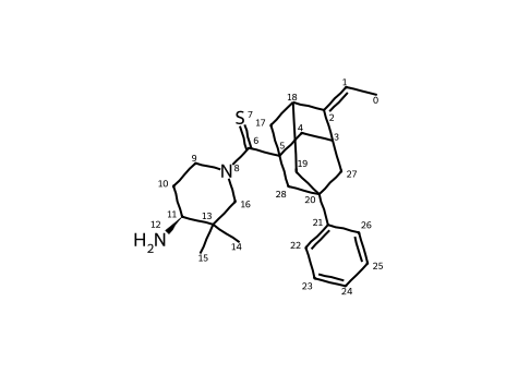 CC=C1C2CC3(C(=S)N4CC[C@H](N)C(C)(C)C4)CC1CC(c1ccccc1)(C2)C3